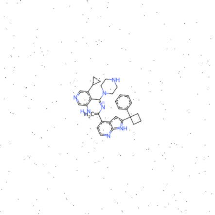 C=C(/N=C(\c1c(N)cncc1C1CC1)N1CCNCC1)c1ccnc2[nH]c(C3(c4ccccc4)CCC3)cc12